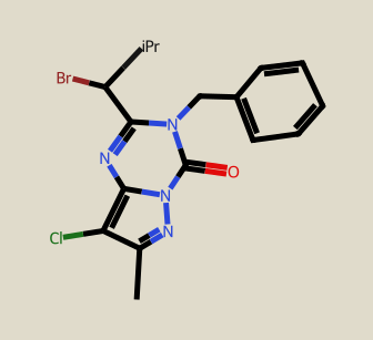 Cc1nn2c(=O)n(Cc3ccccc3)c(C(Br)C(C)C)nc2c1Cl